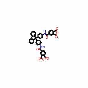 O=C(Nc1ccc(C2(c3ccc(NC(=O)c4ccc5c(c4)C(=O)OC5=O)cc3)c3ccccc3-c3ccccc32)cc1)c1ccc2c(c1)C(=O)OC2=O